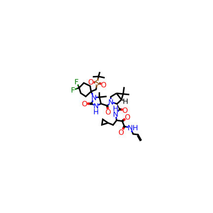 C=CCNC(=O)C(=O)C(CC1CC1)NC(=O)[C@@H]1[C@@H]2C(CN1C(=O)C1NC(=O)N(C3(CS(=O)(=O)C(C)(C)C)CCC(F)(F)CC3)C1(C)C)C2(C)C